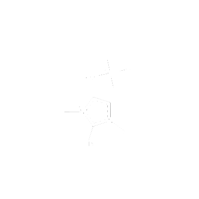 CC(C)c1n(C)cc[n+]1C.[O-][Cl+3]([O-])([O-])[O-]